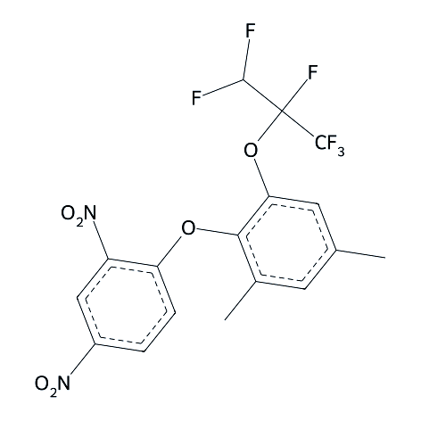 Cc1cc(C)c(Oc2ccc([N+](=O)[O-])cc2[N+](=O)[O-])c(OC(F)(C(F)F)C(F)(F)F)c1